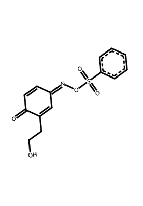 O=C1C=CC(=NOS(=O)(=O)c2ccccc2)C=C1CCO